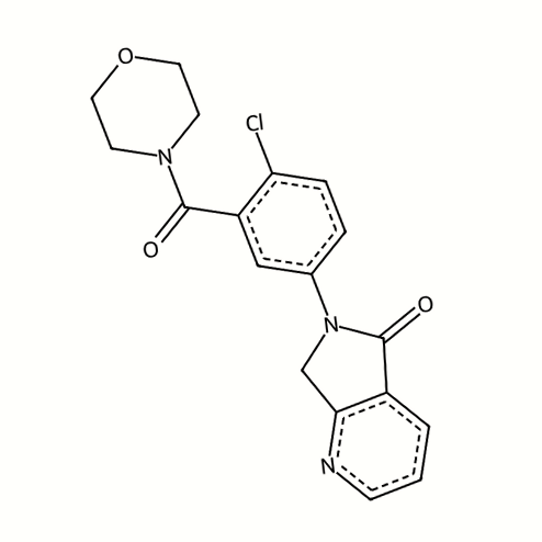 O=C(c1cc(N2Cc3ncccc3C2=O)ccc1Cl)N1CCOCC1